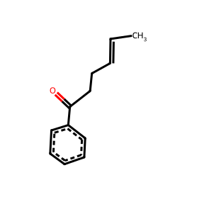 CC=CCCC(=O)c1ccccc1